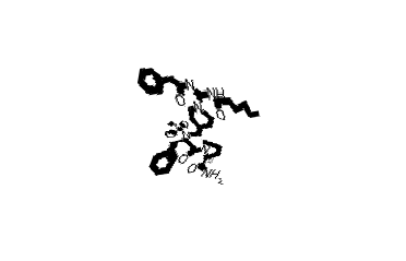 CCCCCC(=O)NC(=NC(=O)Cc1ccccc1)N1CCC(CN([C@H](Cc2ccccc2)C(=O)N2CCC[C@H]2C(N)=O)S(C)(=O)=O)CC1